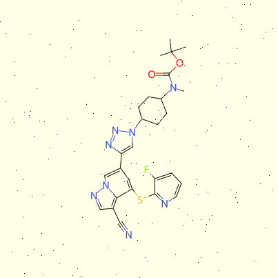 CN(C(=O)OC(C)(C)C)C1CCC(n2cc(-c3cc(Sc4ncccc4F)c4c(C#N)cnn4c3)nn2)CC1